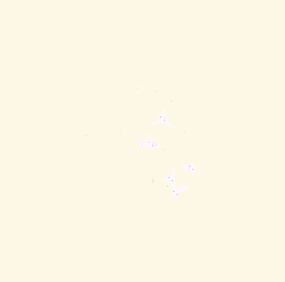 CC(=O)c1ccc2c(c1)C1NC(c3ncnn3C(C)C)=CN1CCO2